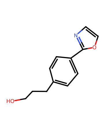 OCCCc1ccc(-c2ncco2)cc1